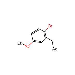 CCOc1ccc(Br)c(CC(C)=O)c1